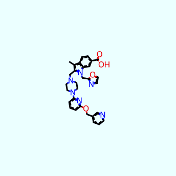 Cc1c(CN2CCN(c3cccc(OCc4cccnc4)n3)CC2)n(Cc2ncco2)c2cc(C(=O)O)ccc12